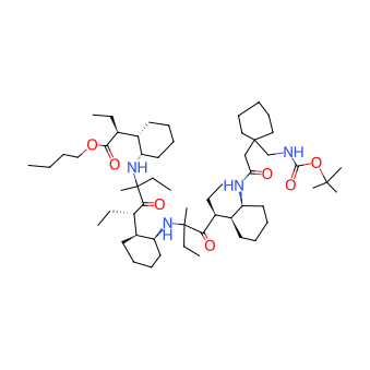 CCCCOC(=O)[C@@H](CC)[C@@H]1CCCC[C@@H]1NC(C)(CC)C(=O)[C@@H](CC)[C@@H]1CCCC[C@@H]1NC(C)(CC)C(=O)[C@@H](CC)[C@@H]1CCCC[C@@H]1NC(=O)CC1(CNC(=O)OC(C)(C)C)CCCCC1